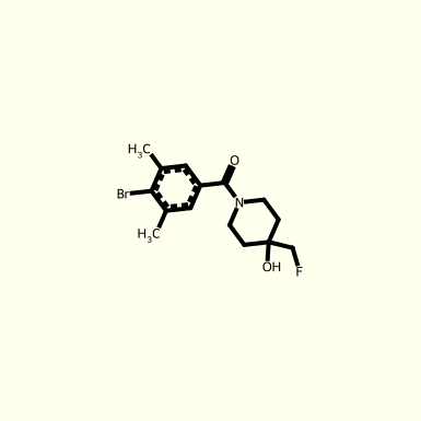 Cc1cc(C(=O)N2CCC(O)(CF)CC2)cc(C)c1Br